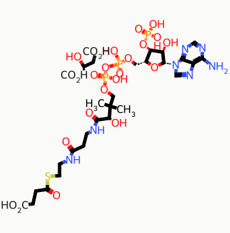 CC(C)(COP(=O)(O)OP(=O)(O)OC[C@H]1O[C@@H](n2cnc3c(N)ncnc32)[C@H](O)[C@@H]1OP(=O)(O)O)[C@@H](O)C(=O)NCCC(=O)NCCSC(=O)CCC(=O)O.O=C(O)C[C@H](O)C(=O)O